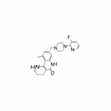 Cc1cc(CN2CCN(c3ncccc3F)CC2)cc2[nH]c(=O)c3c(c12)NCCC3